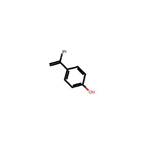 C=C(c1ccc(O)cc1)C(C)C